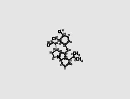 CC(C)c1nccc2c1c(Sc1ccc(Cl)c(Cl)c1)c1n2CC[C@@H]1CC=O